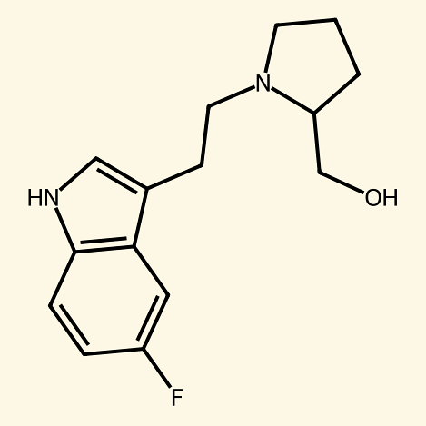 OCC1CCCN1CCc1c[nH]c2ccc(F)cc12